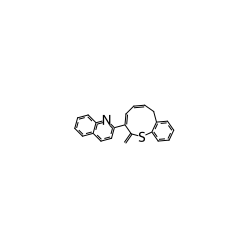 C=C1Sc2ccccc2C/C=C\C=C/1c1ccc2ccccc2n1